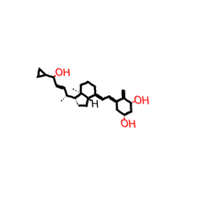 C=C1/C(=C/C=C2\CCC[C@]3(C)[C@@H]([C@H](C)/C=C/[C@H](O)C4CC4)CC[C@@H]23)C[C@@H](O)C[C@H]1O